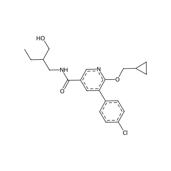 CCC(CO)CNC(=O)c1cnc(OCC2CC2)c(-c2ccc(Cl)cc2)c1